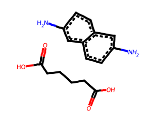 Nc1ccc2cc(N)ccc2c1.O=C(O)CCCCC(=O)O